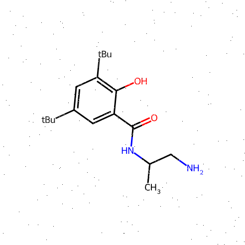 CC(CN)NC(=O)c1cc(C(C)(C)C)cc(C(C)(C)C)c1O